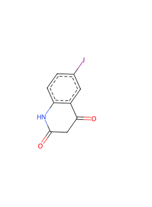 O=C1CC(=O)c2cc(I)ccc2N1